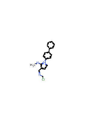 C=Nc1c(/C=N\CCl)ccn1-c1ccc(-c2ccccc2)cc1